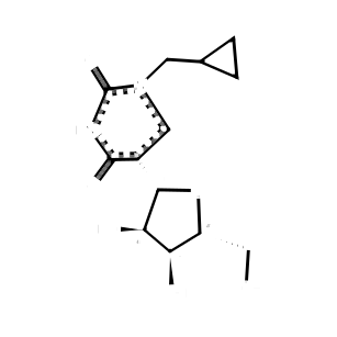 O=c1[nH]c(=O)n(CC2CC2)cc1[C@@H]1O[C@H](CO)[C@@H](O)[C@H]1O